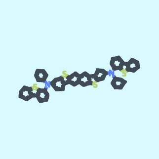 c1ccc(N(c2ccc3c(c2)sc2cc4cc5c(cc4cc23)sc2cc(N(c3ccccc3)c3cccc4c3sc3ccccc34)ccc25)c2cccc3c2sc2ccccc23)cc1